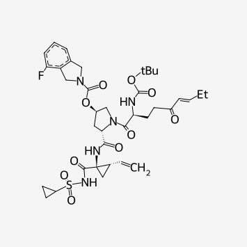 C=C[C@@H]1C[C@]1(NC(=O)[C@@H]1C[C@@H](OC(=O)N2Cc3cccc(F)c3C2)CN1C(=O)[C@H](CCC(=O)/C=C/CC)NC(=O)OC(C)(C)C)C(=O)NS(=O)(=O)C1CC1